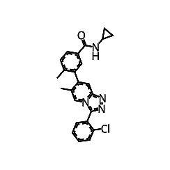 Cc1ccc(C(=O)NC2CC2)cc1-c1cc2nnc(-c3ccccc3Cl)n2cc1C